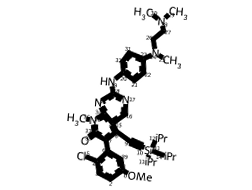 COc1ccc(Cl)c(-c2c(C#C[Si](C(C)C)(C(C)C)C(C)C)c3cnc(Nc4ccc(N(C)CCN(C)C)cc4)nc3n(C)c2=O)c1